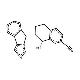 N#Cc1ccc2c(c1)[C@H](O)[C@H](C1c3ccccc3-c3cncn31)CC2